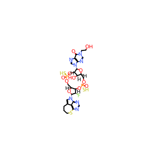 O=c1c2ncn([C@@H]3O[C@@H]4COP(=O)(S)O[C@H]5[C@@H](F)[C@H](n6cc7c8c(ncnc86)SCCC7)O[C@@H]5COP(=O)(S)O[C@@H]3[C@@H]4O)c2ncn1CCO